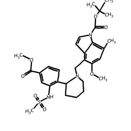 COC(=O)c1ccc(C2CCCCN2Cc2c(OC)cc(C)c3c2ccn3C(=O)OC(C)(C)C)c(NS(C)(=O)=O)c1